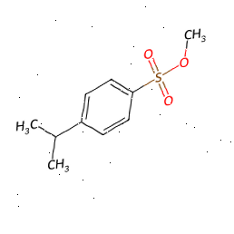 COS(=O)(=O)c1ccc(C(C)C)cc1